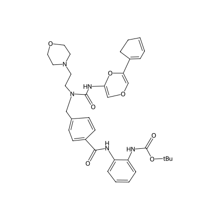 CC(C)(C)OC(=O)Nc1ccccc1NC(=O)c1ccc(CN(CCN2CCOCC2)C(=O)NC2=COC=C(C3=CC=CCC3)O2)cc1